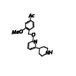 COc1cc(C(C)=O)ccc1COc1cccc(C2CCNCC2)n1